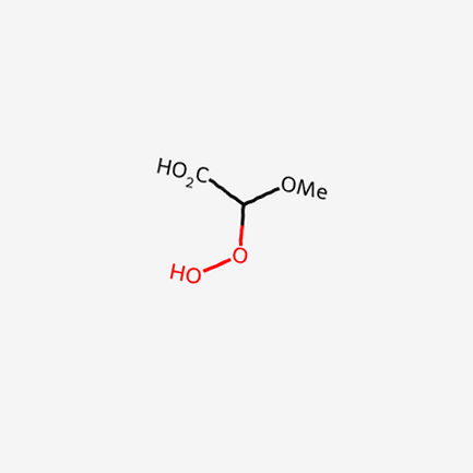 COC(OO)C(=O)O